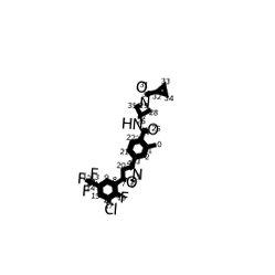 Cc1cc(C2=NOC(c3cc(C(F)(F)F)cc(Cl)c3F)C2)ccc1C(=O)NC1CN(C(=O)C2CC2)C1